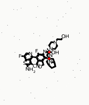 C[C@@H](O)CN1CC2CCC(C1)N2c1nc(N2CCN(CCO)CC2)nc2c(F)c(-c3ncc(F)c4sc(N)c(C#N)c34)c3c(c12)COC3